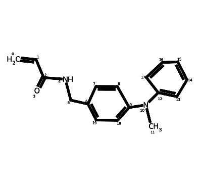 C=CC(=O)NCc1ccc(N(C)c2ccccc2)cc1